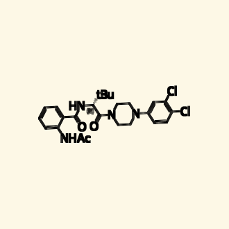 CC(=O)Nc1ccccc1C(=O)N[C@@H](C(=O)N1CCN(c2ccc(Cl)c(Cl)c2)CC1)C(C)(C)C